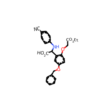 CCOC(=O)COc1ccc(OCc2ccccc2)cc1C(Nc1ccc(C#N)cc1)C(=O)O